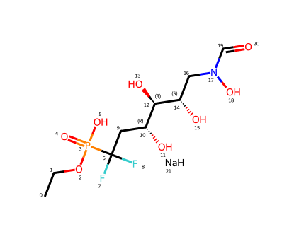 CCOP(=O)(O)C(F)(F)C[C@@H](O)[C@@H](O)[C@@H](O)CN(O)C=O.[NaH]